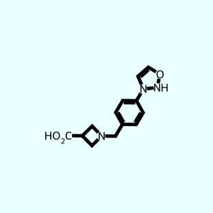 O=C(O)C1CN(Cc2ccc(N3C=CON3)cc2)C1